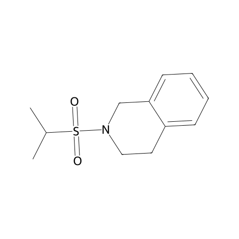 CC(C)S(=O)(=O)N1CCc2ccccc2C1